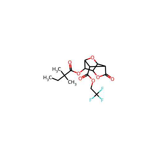 CCC(C)(C)C(=O)OC1C2OC(=O)C3C2OC1C3C(=O)OCC(F)(F)F